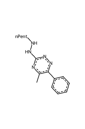 CCCCCNNc1nnc(-c2ccccc2)c(C)n1